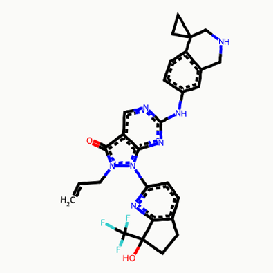 C=CCn1c(=O)c2cnc(Nc3ccc4c(c3)CNCC43CC3)nc2n1-c1ccc2c(n1)C(O)(C(F)(F)F)CC2